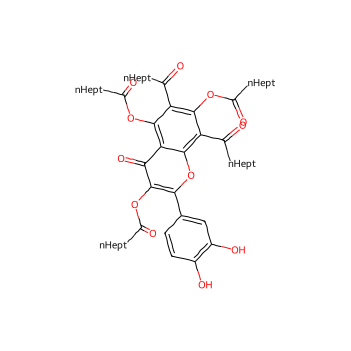 CCCCCCCC(=O)Oc1c(C(=O)CCCCCCC)c(OC(=O)CCCCCCC)c2c(=O)c(OC(=O)CCCCCCC)c(-c3ccc(O)c(O)c3)oc2c1C(=O)CCCCCCC